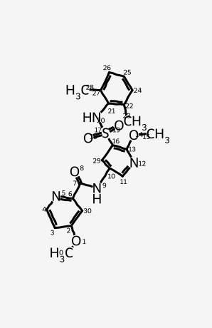 COc1ccnc(C(=O)Nc2cnc(OC)c(S(=O)(=O)Nc3c(C)cccc3C)c2)c1